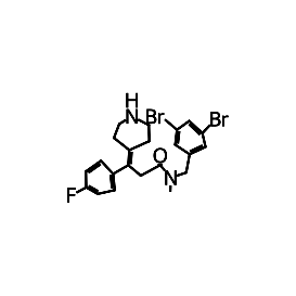 CN(Cc1cc(Br)cc(Br)c1)C(=O)CC(=C1CCNCC1)c1ccc(F)cc1